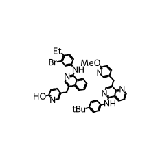 CCc1ccc(Nc2ncc(Cc3ccc(O)nc3)c3ccccc23)cc1Br.COc1ccc(Cc2cnc(Nc3ccc(C(C)(C)C)cc3)c3cccnc23)cn1